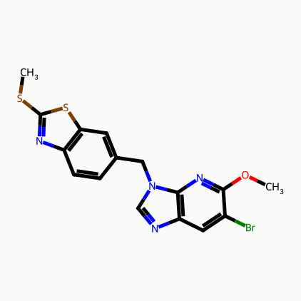 COc1nc2c(cc1Br)ncn2Cc1ccc2nc(SC)sc2c1